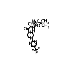 C[C@H](NC(=O)OC(C)(C)C)C(=O)N1CCN(c2ncc(C(F)(F)F)cn2)CC1